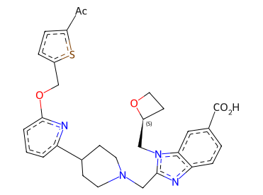 CC(=O)c1ccc(COc2cccc(C3CCN(Cc4nc5ccc(C(=O)O)cc5n4C[C@@H]4CCO4)CC3)n2)s1